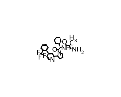 CC(CN)C(=O)NC(C(=O)N1CCCC1c1cc(-c2ccccc2C(F)(F)F)ccn1)C1CCCCC1